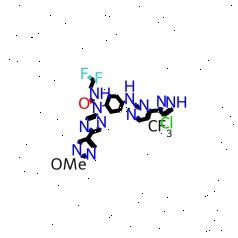 COc1ncc(-c2cnc(N(C(=O)NCC(F)F)[C@H]3CC[C@H](Nc4ncc(C(F)(F)F)c(-c5n[nH]cc5Cl)n4)CC3)cn2)cn1